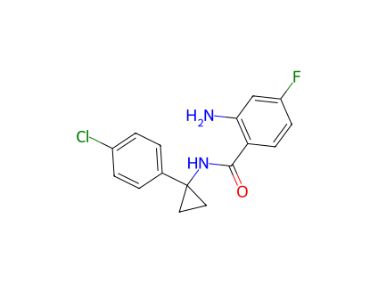 Nc1cc(F)ccc1C(=O)NC1(c2ccc(Cl)cc2)CC1